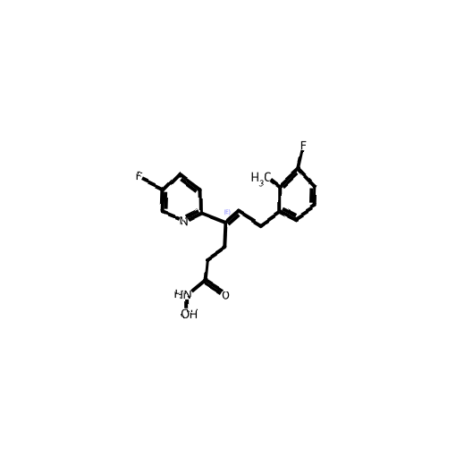 Cc1c(F)cccc1C/C=C(\CCC(=O)NO)c1ccc(F)cn1